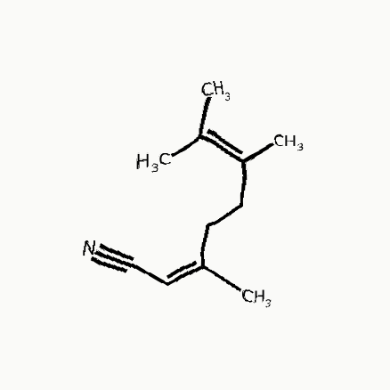 CC(C)=C(C)CC/C(C)=C\C#N